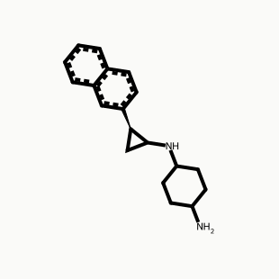 NC1CCC(NC2C[C@H]2c2ccc3ccccc3c2)CC1